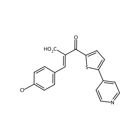 O=C(O)/C(=C\c1ccc(Cl)cc1)C(=O)c1ccc(-c2ccncc2)s1